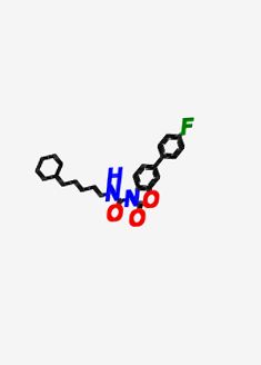 O=C(NCCCCCC1CCCCC1)n1c(=O)oc2cc(-c3ccc(F)cc3)ccc21